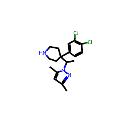 Cc1cc(C)n(C(C)C2(c3ccc(Cl)c(Cl)c3)CCNCC2)n1